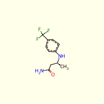 C[C@@H](CC(N)=O)Nc1ccc(C(F)(F)F)cc1